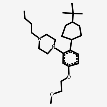 CCCCN1CCN(c2cc(OCCOC)ccc2C2CCC(C(C)(C)C)CC2)CC1